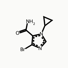 NC(=O)c1c(Br)ncn1C1CC1